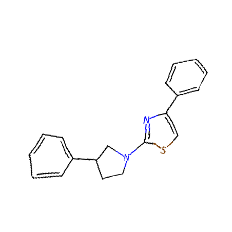 c1ccc(-c2csc(N3CCC(c4ccccc4)C3)n2)cc1